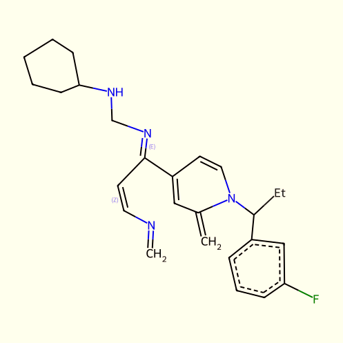 C=N/C=C\C(=N/CNC1CCCCC1)C1=CC(=C)N(C(CC)c2cccc(F)c2)C=C1